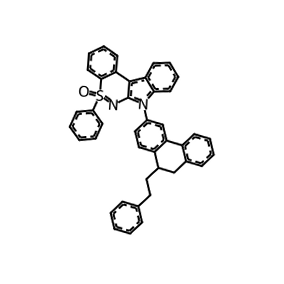 O=S1(c2ccccc2)=Nc2c(c3ccccc3n2-c2ccc3c(c2)-c2ccccc2CC3CCc2ccccc2)-c2ccccc21